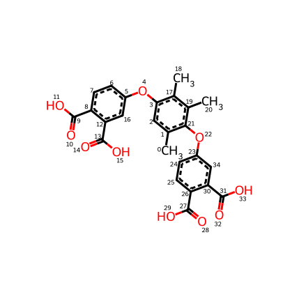 Cc1cc(Oc2ccc(C(=O)O)c(C(=O)O)c2)c(C)c(C)c1Oc1ccc(C(=O)O)c(C(=O)O)c1